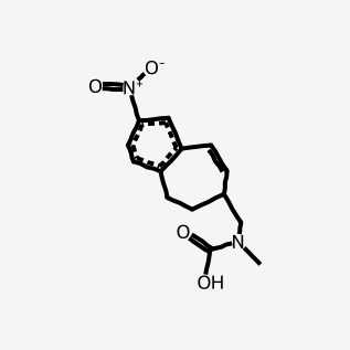 CN(CC1C=Cc2cc([N+](=O)[O-])ccc2CC1)C(=O)O